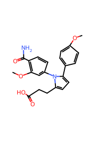 COc1ccc(-c2ccc(CCC(=O)O)n2-c2ccc(C(N)=O)c(OC)c2)cc1